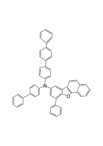 c1ccc(-c2ccc(-c3ccc(N(c4ccc(-c5ccccc5)cc4)c4cc(-c5ccccc5)c5oc6c7ccccc7ccc6c5c4)cc3)cc2)cc1